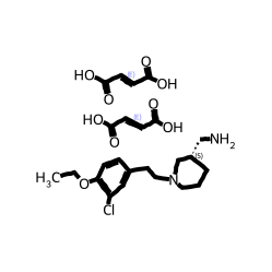 CCOc1ccc(CCN2CCC[C@@H](CN)C2)cc1Cl.O=C(O)/C=C/C(=O)O.O=C(O)/C=C/C(=O)O